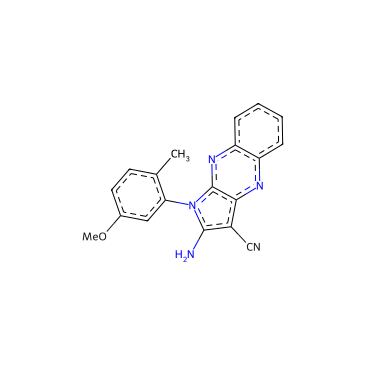 COc1ccc(C)c(-n2c(N)c(C#N)c3nc4ccccc4nc32)c1